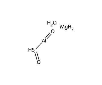 O.[MgH2].[O]=[Al][SiH]=O